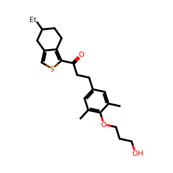 CCC1CCc2c(csc2C(=O)CCc2cc(C)c(OCCCO)c(C)c2)C1